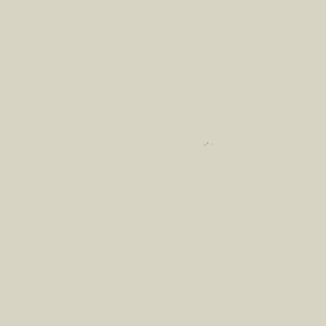 COC(=O)CC(=O)c1ccccc1Cl